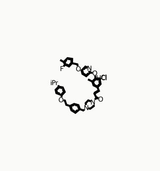 Cc1ccc(COc2ccc(Oc3c(C)cc(C=CC(=O)N4CCN(Cc5ccc(CCOc6ccc(C(C)C)cc6)cc5)CC4)cc3Cl)nc2)cc1F.Cl